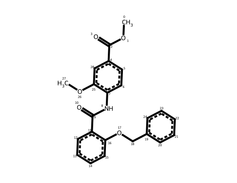 COC(=O)c1ccc(NC(=O)c2ccccc2OCc2ccccc2)c(OC)c1